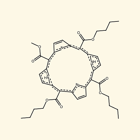 CCCCOC(=O)c1c2nc(c(C(=O)OCCCC)c3ccc([nH]3)c(C(=O)OCCCC)c3nc(c(C(=O)OC)c4ccc1[nH]4)C=C3)C=C2